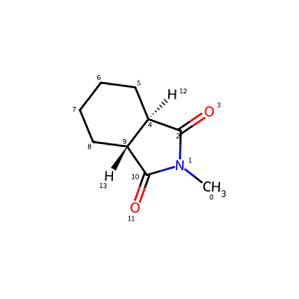 CN1C(=O)[C@@H]2CCCC[C@H]2C1=O